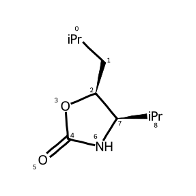 CC(C)C[C@@H]1OC(=O)N[C@@H]1C(C)C